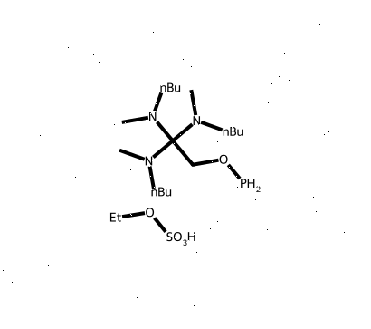 CCCCN(C)C(COP)(N(C)CCCC)N(C)CCCC.CCOS(=O)(=O)O